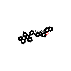 CC1(C)c2cc(-c3cccc(-c4c5ccccc5c(-c5cccc6ccccc56)c5ccccc45)c3)ccc2-c2ccc3oc4c5ccccc5ccc4c3c21